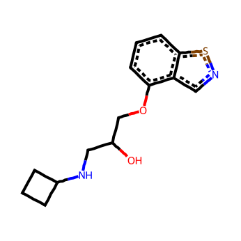 OC(CNC1CCC1)COc1cccc2sncc12